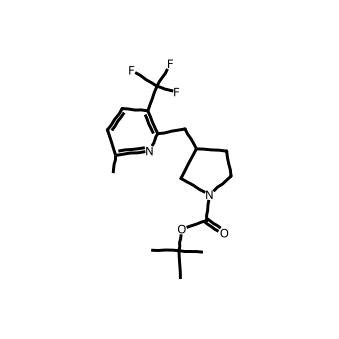 Cc1ccc(C(F)(F)F)c(CC2CCN(C(=O)OC(C)(C)C)C2)n1